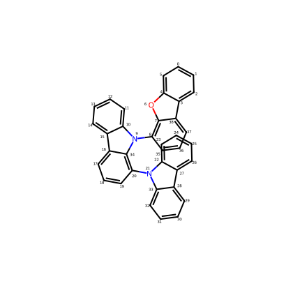 c1ccc2c(c1)oc1c(-n3c4ccccc4c4cccc(-n5c6ccccc6c6ccccc65)c43)cccc12